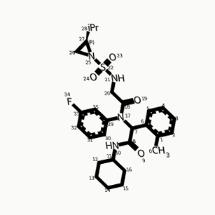 Cc1ccccc1C(C(=O)NC1CCCCC1)N(C(=O)CNS(=O)(=O)N1C[C@H]1C(C)C)c1cccc(F)c1